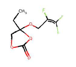 CCC1(OCC(F)=C(F)F)COC(=O)O1